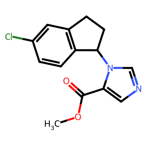 COC(=O)c1cncn1C1CCc2cc(Cl)ccc21